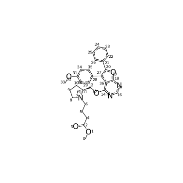 COC(=O)CCCN1CCC[C@H]1COc1ncnc2oc(-c3ccccc3)c(-c3ccc(OC)cc3)c12